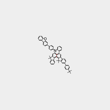 CC(C)(C)c1ccc(-c2ccc3c(c2)C(C)(C)c2ccc(-c4ccccc4N(c4ccc(-c5ccc6c(c5)oc5ccccc56)cc4)c4ccc5c(c4)C(C)(C)c4ccccc4-5)cc2-3)cc1